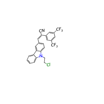 N#CC(=Cc1ccc2c(c1)c1ccccc1n2CCCl)c1cc(C(F)(F)F)cc(C(F)(F)F)c1